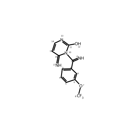 N=C(c1cccc(OC(F)(F)F)c1)n1c(O)nccc1=N